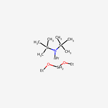 CCCN([Si](C)(C)C)[Si](C)(C)C.CCO[SiH2]OCC